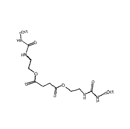 CCCCCCCCNC(=O)NCCOC(=O)CCC(=O)OCCNC(=O)NCCCCCCCC